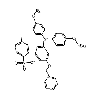 CC(C)(C)Oc1ccc([S+](c2ccc(OC(C)(C)C)cc2)c2cccc(OCc3ccncc3)c2)cc1.Cc1ccc(S(=O)(=O)[O-])cc1